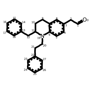 O=CCc1ccc2c(c1)CCC(Cc1ccccc1)N2CCc1ccccc1